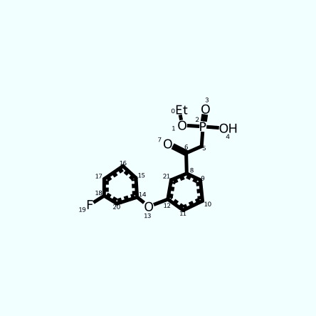 CCOP(=O)(O)CC(=O)c1cccc(Oc2cccc(F)c2)c1